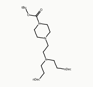 CCCCCCCCCCCCN(CCCCCCCCCCCC)CCN1CCN(C(=O)OC(C)(C)C)CC1